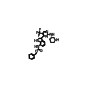 O=C(Nc1cccc2c(-c3nc(N[C@H]4CCCNC4)ncc3C(F)(F)F)c[nH]c12)OCc1ccccc1